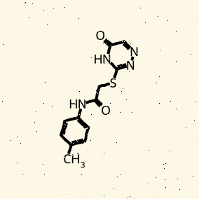 Cc1ccc(NC(=O)CSc2nncc(=O)[nH]2)cc1